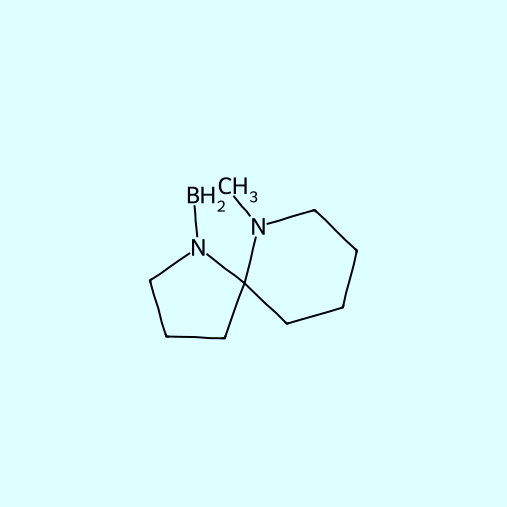 BN1CCCC12CCCCN2C